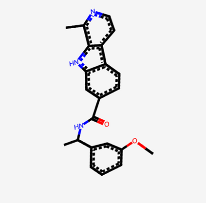 COc1cccc(C(C)NC(=O)c2ccc3c(c2)[nH]c2c(C)nccc23)c1